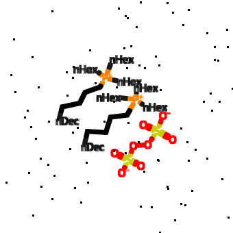 CCCCCCCCCCCCCC[P+](CCCCCC)(CCCCCC)CCCCCC.CCCCCCCCCCCCCC[P+](CCCCCC)(CCCCCC)CCCCCC.O=S(=O)([O-])OOS(=O)(=O)[O-]